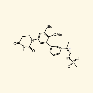 COc1c(-c2cccc(/C(C)=N\NS(C)(=O)=O)c2)cc(N2CCC(=O)NC2=O)cc1C(C)(C)C